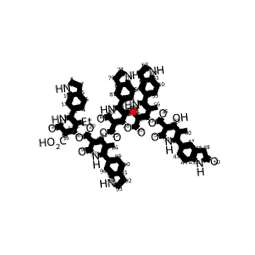 CCc1c(-c2ccc3cc[nH]c3c2)[nH]c(=O)c(C(=O)O)c1OC(=O)c1c(OC(=O)c2c(OC(=O)c3c(OC(=O)c4c(O)c(C)c(-c5ccc6c(c5)CC(=O)N6)[nH]c4=O)c(C)c(-c4ccc5[nH]ccc5c4)[nH]c3=O)c(CC)c(-c3ccc4[nH]ccc4c3)[nH]c2=O)c(C)c(-c2ccc3cc[nH]c3c2)[nH]c1=O